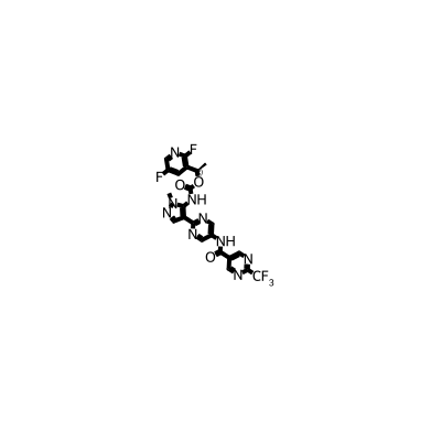 C[C@@H](OC(=O)Nc1c(-c2ncc(NC(=O)c3cnc(C(F)(F)F)nc3)cn2)cnn1C)c1cc(F)cnc1F